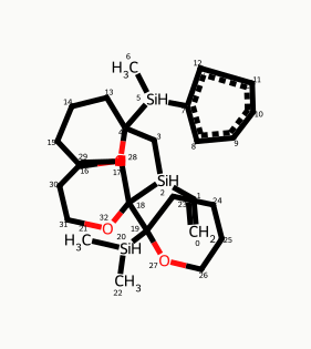 C=C[SiH](CC1([SiH](C)c2ccccc2)CCCCO1)C1(C2([SiH](C)C)CCCCO2)CCCCO1